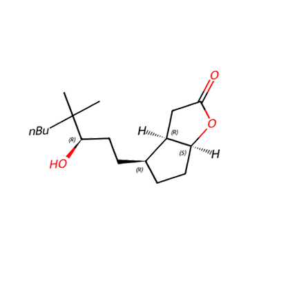 CCCCC(C)(C)[C@H](O)CC[C@@H]1CC[C@@H]2OC(=O)C[C@H]12